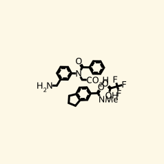 CNC(=O)c1ccc2c(c1)CCC2.NCc1cccc(N(CC(=O)O)C(=O)c2ccccc2)c1.O=C(O)C(F)(F)F